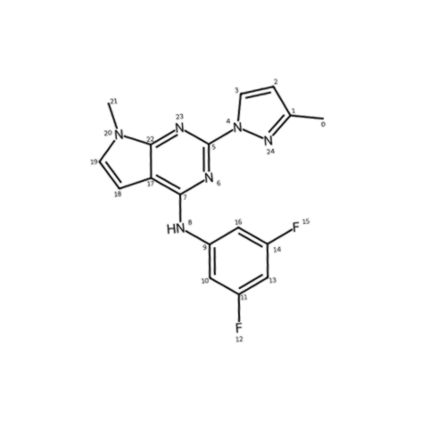 Cc1ccn(-c2nc(Nc3cc(F)cc(F)c3)c3ccn(C)c3n2)n1